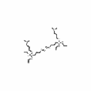 CCO[Si](CCCSSSSCCC[Si](OCC)(OCC)OCCCN(C)C)(OCC)OCCCN(C)C